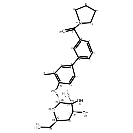 Cc1cc(-c2cccc(C(=O)N3CCCC3)c2)ccc1O[C@H]1O[C@H](CO)C[C@H](O)[C@]1(N)O